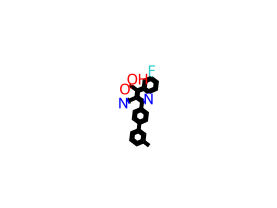 Cc1cccc(-c2ccc(-c3nc4ccc(F)cc4c(C(=O)O)c3C#N)cc2)c1